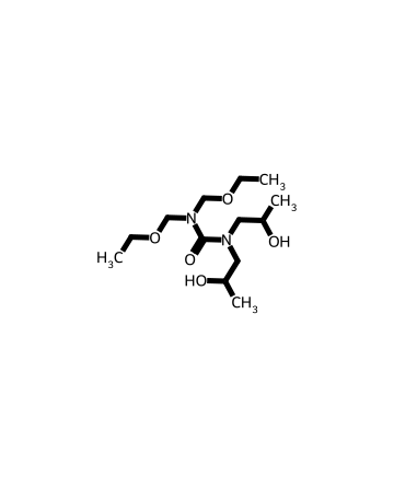 CCOCN(COCC)C(=O)N(CC(C)O)CC(C)O